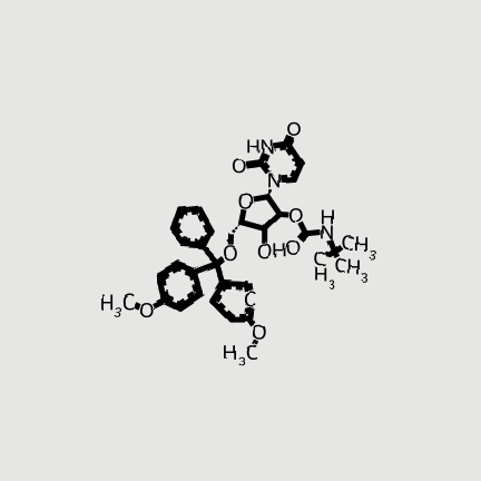 COc1ccc(C(OC[C@@H]2O[C@H](n3ccc(=O)[nH]c3=O)C(OC(=O)NC(C)(C)C)C2O)(c2ccccc2)c2ccc(OC)cc2)cc1